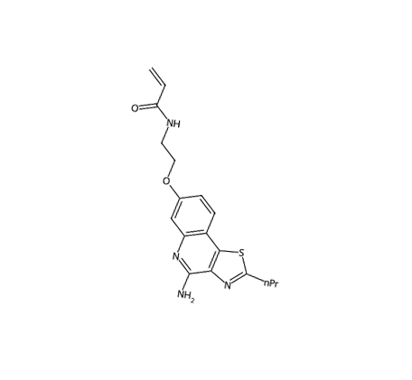 C=CC(=O)NCCOc1ccc2c(c1)nc(N)c1nc(CCC)sc12